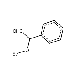 CCOC(C=O)c1ccccc1